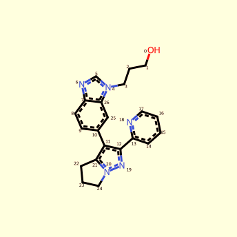 OCCCn1cnc2ccc(-c3c(-c4ccccn4)nn4c3CCC4)cc21